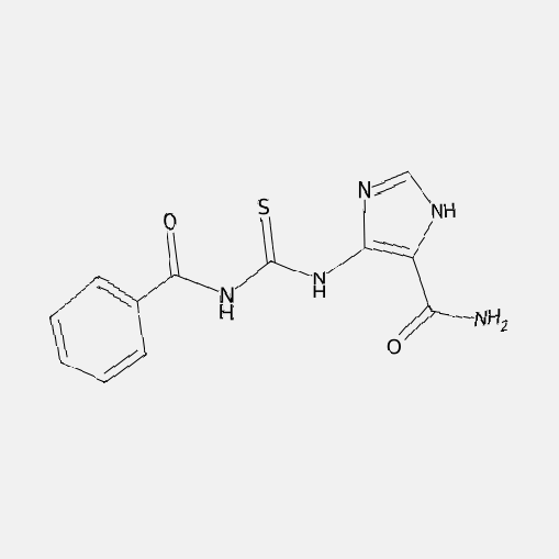 NC(=O)c1[nH]cnc1NC(=S)NC(=O)c1ccccc1